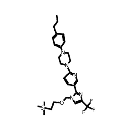 CCCc1ccc(N2CCN(c3ccc(-c4nc(C(F)(F)F)cn4COCC[Si](C)(C)C)cn3)CC2)cc1